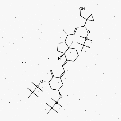 C=C1/C(=C\C=C2/CCC[C@]3(C)[C@@H]([C@H](C)/C=C/[C@@H](O[Si](C)(C)C(C)(C)C)C4(CO)CC4)CC[C@@H]23)C[C@@H](O[Si](C)(C)C(C)(C)C)C[C@@H]1O[Si](C)(C)C(C)(C)C